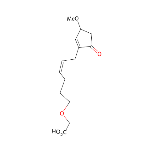 COC1C=C(C/C=C\CCCOCC(=O)O)C(=O)C1